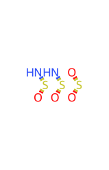 N=S=O.N=S=O.O=S=O